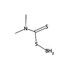 BSC(=S)N(C)C